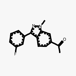 CC(=O)c1ccc2c(-c3cccc(F)c3)nn(C)c2c1